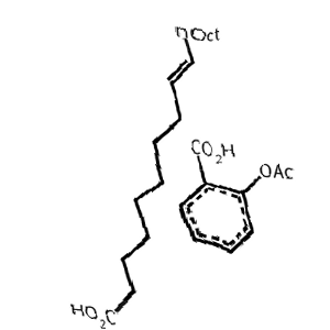 CC(=O)Oc1ccccc1C(=O)O.CCCCCCCCC=CCCCCCCCC(=O)O